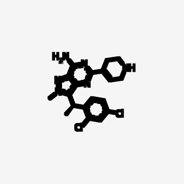 C[C@H](c1ccc(Cl)cc1Cl)c1c2nc(C3=CCNCC3)nc(N)c2nn1C